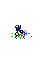 COc1c(Cl)cc(-c2cc(C#N)nn2-c2ccc(S(N)(=O)=O)cc2)cc1Cl